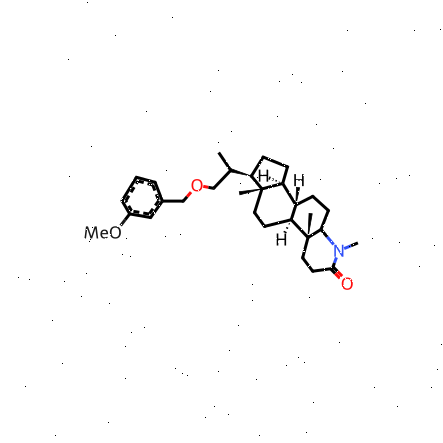 COc1cccc(COCC(C)[C@H]2CC[C@H]3[C@@H]4CCC5N(C)C(=O)CC[C@]5(C)[C@H]4CC[C@]23C)c1